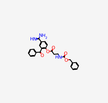 N=C(N)c1ccc(OC(=O)CCNC(=O)OCc2ccccc2)c(C(=O)c2ccccc2)c1